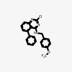 FC(F)(F)Oc1ccc(CNc2nc(Cl)nc3cccc(-c4ccccc4)c23)cc1